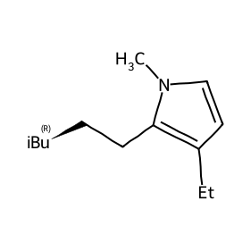 CCc1ccn(C)c1CC[C@H](C)CC